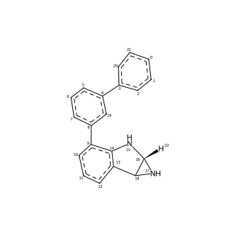 c1ccc(-c2cccc(-c3cccc4c3N[C@@H]3NC43)c2)cc1